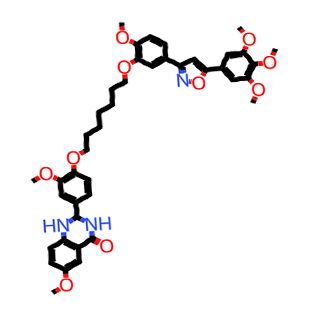 COc1ccc2c(c1)C(=O)NC(c1ccc(OCCCCCCCOc3cc(-c4cc(-c5cc(OC)c(OC)c(OC)c5)on4)ccc3OC)c(OC)c1)N2